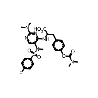 CN(C)C(=O)Oc1ccc(CC(Nc2nc(N(C)C)ncc2N(C)S(=O)(=O)c2ccc(F)cc2)C(=O)O)cc1